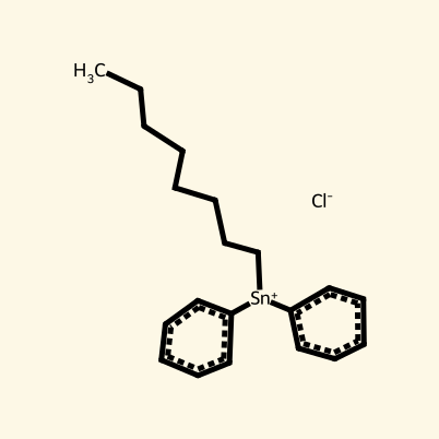 CCCCCCC[CH2][Sn+]([c]1ccccc1)[c]1ccccc1.[Cl-]